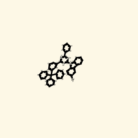 Brc1ccc2c(c1)c1ccccc1n2-c1nc(-c2ccccc2)nc(-c2cccc(C(c3ccccc3)(c3ccccc3)c3ccccc3)c2)n1